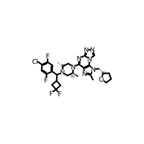 Cc1nc2c(N3C[C@@H](C)N(C(c4cc(F)c(Cl)cc4F)C4CC(F)(F)C4)C[C@@H]3C)nc3nncn3c2n1C[C@@H]1CCCO1